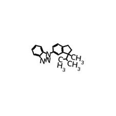 CC(C)C1(C)CCc2ccc(-n3nnc4ccccc43)cc21